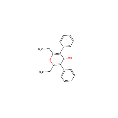 CCc1oc(CC)c(-c2ccccc2)c(=O)c1-c1ccccc1